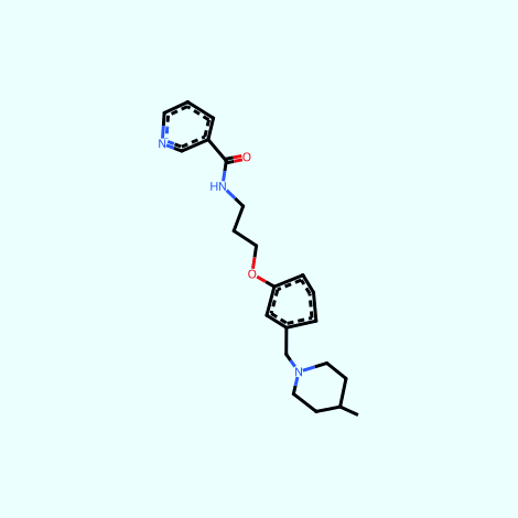 CC1CCN(Cc2cccc(OCCCNC(=O)c3cccnc3)c2)CC1